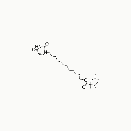 CC(C)CC(C)(C(=O)OCCCCCCCCCCCCn1ccc(=O)[nH]c1=O)C(C)C